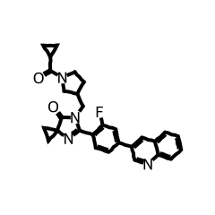 O=C(C1CC1)N1CCC(CN2C(=O)C3(CC3)N=C2c2ccc(-c3cnc4ccccc4c3)cc2F)C1